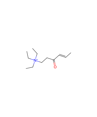 CC=CC(=O)CC[N+](CC)(CC)CC